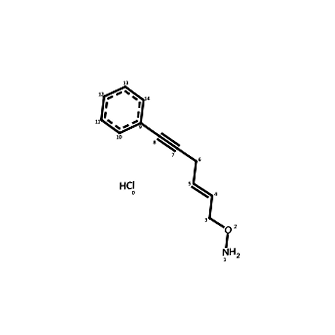 Cl.NOC/C=C/CC#Cc1ccccc1